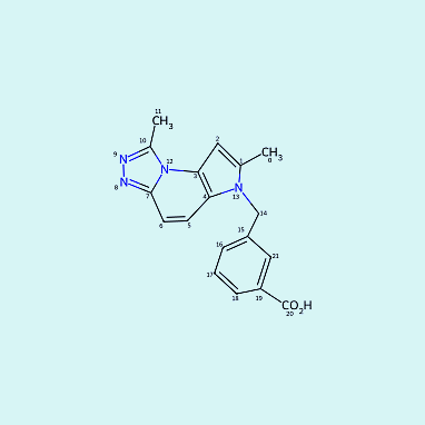 Cc1cc2c(ccc3nnc(C)n32)n1Cc1cccc(C(=O)O)c1